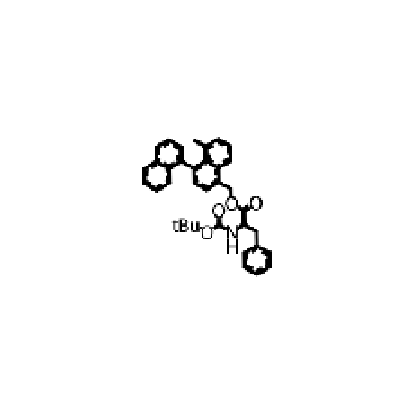 Cc1cccc2c(COC(=O)C(Cc3ccccc3)NC(=O)OC(C)(C)C)ccc(-c3cccc4ccccc34)c12